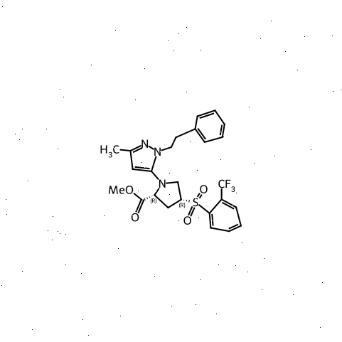 COC(=O)[C@H]1C[C@@H](S(=O)(=O)c2ccccc2C(F)(F)F)CN1c1cc(C)nn1CCc1ccccc1